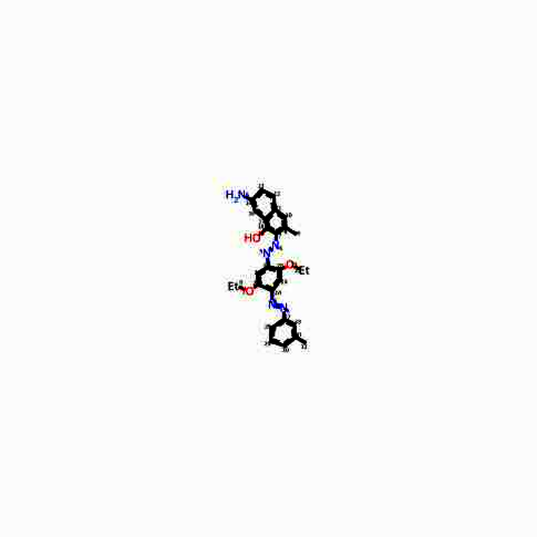 CCOc1cc(N=Nc2c(C)cc3ccc(N)cc3c2O)c(OCC)cc1N=Nc1cccc(C)c1